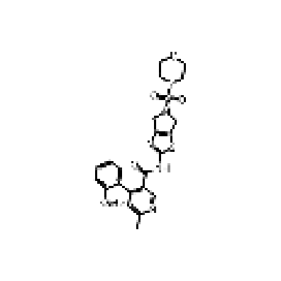 COc1ccccc1-c1cc(C)ncc1C(=O)Nc1nc2c(s1)CN(S(=O)(=O)N1CCOCC1)C2